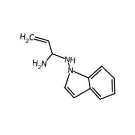 C=CC(N)Nn1ccc2ccccc21